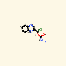 NC(=O)OC(Cl)c1cnc2ccccc2n1